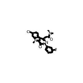 CN(C)C(=O)Cc1nn(-c2cccc(F)c2)c(=O)c2c1c1ccc(Cl)cc1n2C